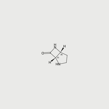 O=C1N[C@@H]2CCN[C@H]12